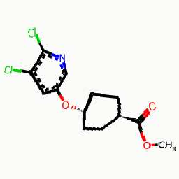 COC(=O)[C@H]1CC[C@H](Oc2cnc(Cl)c(Cl)c2)CC1